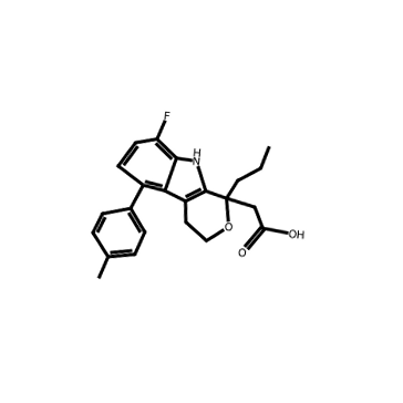 CCCC1(CC(=O)O)OCCc2c1[nH]c1c(F)ccc(-c3ccc(C)cc3)c21